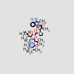 CC[C@@H](C)[C@@H]([C@@H](CC(=O)N1CCC[C@H]1[C@H](OC)[C@@H](C)C(=O)N[C@H](C)C(N)c1ccccc1)OC)N(C)C(=O)[C@@H](NC(=O)[C@H](C(C)C)N(C)C)C(C)C